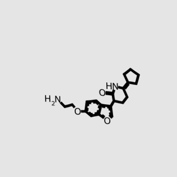 NCCOc1ccc2c(C3CCC(=C4CCCC4)NC3=O)coc2c1